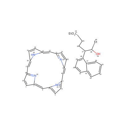 C1=Cc2cc3ccc(cc4nc(cc5ccc(cc1n2)[nH]5)C=C4)[nH]3.CCOC(=O)CCC(c1cccc2ccccc12)C(O)CC